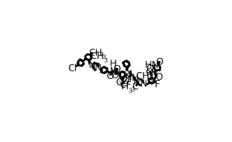 CC1CN(Cc2cc(F)c3c(c2)C(=O)N(C2CCC(=O)NC2=O)C3=O)CC(C)N1CC[C@H](CSc1ccccc1)Nc1ccc(S(=O)(=O)NC(=O)c2ccc(N3CCN(CC4=C(c5ccc(Cl)cc5)CCC(C)(C)C4)CC3)cc2)cc1S(=O)(=O)C(F)(F)F